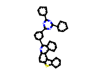 c1ccc(-c2nc(-c3ccccc3)nc(-c3cccc(-c4nc5ccc6sc7ccccc7c6c5c5ccccc45)c3)n2)cc1